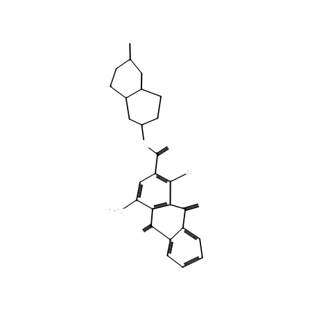 CNc1cc(C(=O)OC2CCC3CC(C)CCC3C2)c(N)c2c1C(=O)c1ccccc1C2=O